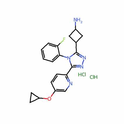 Cl.Cl.NC1CC(c2nnc(-c3ccc(OC4CC4)cn3)n2-c2ccccc2F)C1